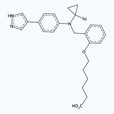 [2H]C1(N(Cc2ccccc2OCCCCCC(=O)O)c2ccc(-c3cn[nH]c3)cc2)CC1